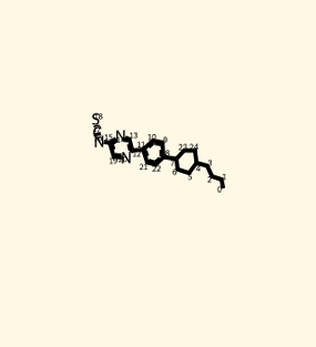 CCCCC1CCC(c2ccc(-c3cnc(N=C=S)cn3)cc2)CC1